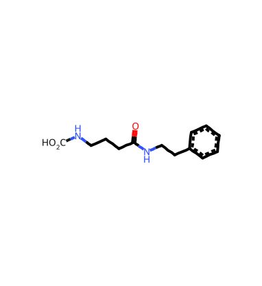 O=C(O)NCCCC(=O)NCCc1ccccc1